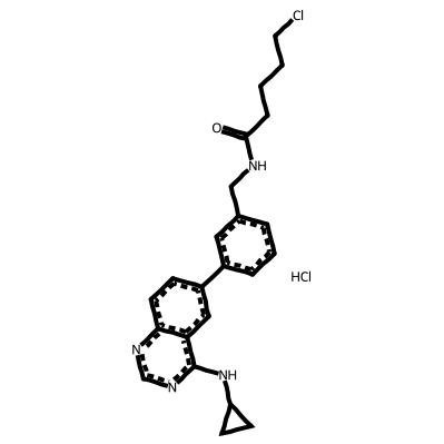 Cl.O=C(CCCCCl)NCc1cccc(-c2ccc3ncnc(NC4CC4)c3c2)c1